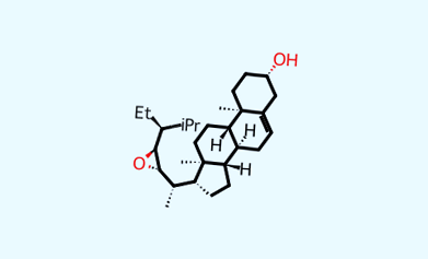 CC[C@@H](C(C)C)[C@@H]1O[C@H]1[C@@H](C)[C@H]1CC[C@H]2[C@@H]3CC=C4C[C@@H](O)CC[C@]4(C)[C@H]3CC[C@]12C